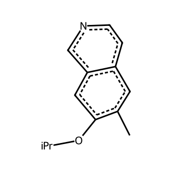 Cc1cc2ccncc2cc1OC(C)C